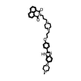 CN1CCN(c2ccc3nc(-c4ccc(OCCCN5CCN(CCCN6C(=O)c7cccc8cccc(c78)C6=O)CC5)cc4)[nH]c3c2)CC1